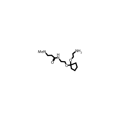 CNCCC(=O)NCCOC1(OCCN)CCCC1